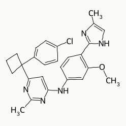 COc1cc(Nc2cc(C3(c4ccc(Cl)cc4)CCC3)nc(C)n2)ccc1-c1nc(C)c[nH]1